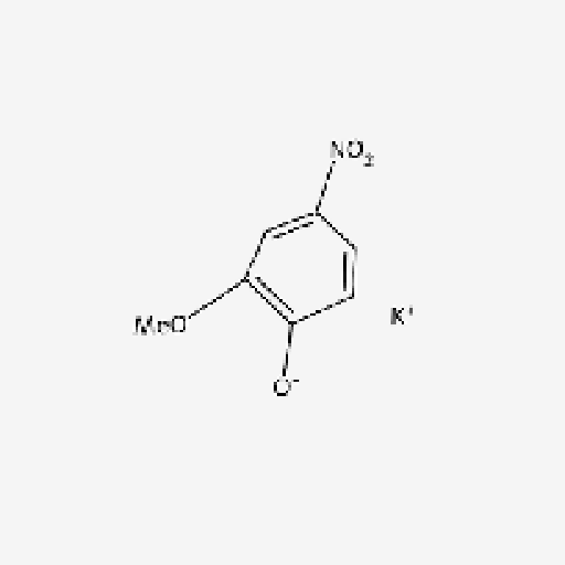 COc1cc([N+](=O)[O-])ccc1[O-].[K+]